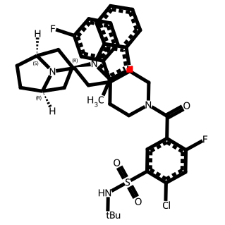 Cc1nc2ccccc2n1[C@H]1C[C@H]2CC[C@@H](C1)N2CCC1(c2cccc(F)c2)CCN(C(=O)c2cc(S(=O)(=O)NC(C)(C)C)c(Cl)cc2F)CC1